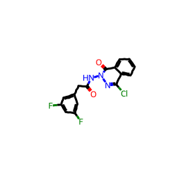 O=C(Cc1cc(F)cc(F)c1)Nn1nc(Cl)c2ccccc2c1=O